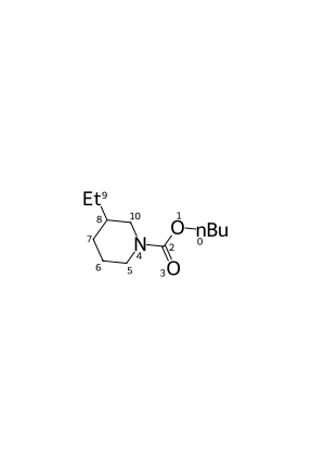 CCCCOC(=O)N1CCCC(CC)C1